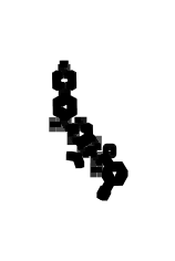 C#Cc1cccc(C(=O)Nc2nc3cnc(Nc4ccc(N5CCN(C)CC5)cc4)nc3n2C(C)C)c1